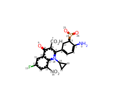 NC1=CC=C(c2c(C(=O)O)c(=O)c3cc(F)cc([N+](=O)[O-])c3n2C2CC2)CC1=S(=O)=O